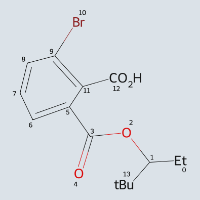 CCC(OC(=O)c1cccc(Br)c1C(=O)O)C(C)(C)C